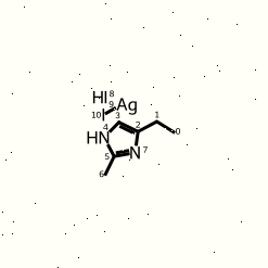 CCc1c[nH]c(C)n1.I.[Ag][I]